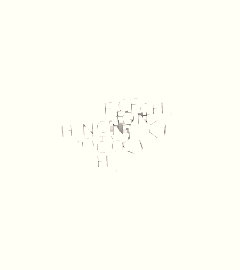 CN1C(=O)[C@@H](N(CC(F)(F)C(F)(F)F)C(=O)C(C)(C)C(N)=O)c2ccccc2-c2ccccc21